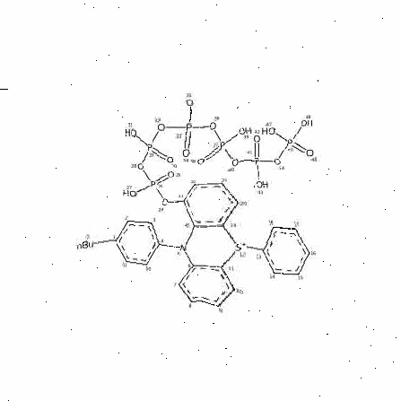 CCCCc1ccc(N2c3ccccc3[S+](c3ccccc3)c3cccc(OP(=O)(O)OP(=O)(O)OP(=O)([O-])OP(=O)(O)OP(=O)(O)OP(=O)(O)O)c32)cc1